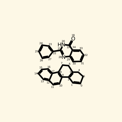 C1=CC2=C(CC1)CCc1c2ccc2ccccc12.O=c1[nH]c(-c2ccccc2)nc2ccccc12